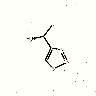 [CH2]C(N)c1csnn1